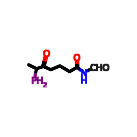 CC(P)C(=O)CCCC(=O)NC=O